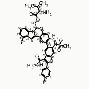 CNC(=O)c1c(-c2ccc(F)cc2)oc2cc(N(C)S(C)(=O)=O)c(-c3ccc4c(n3)-c3cc5c(F)cccc5n3[C@H](COC(=O)[C@@H](N)C(C)C)O4)cc12